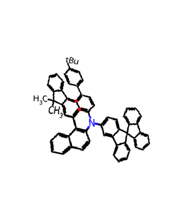 CC(C)(C)c1ccc(-c2ccc(N(c3ccc4c(c3)-c3ccccc3C43c4ccccc4-c4ccccc43)c3ccc4ccccc4c3-c3ccc4c(c3)C(C)(C)c3ccccc3-4)cc2)cc1